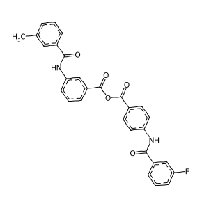 Cc1cccc(C(=O)Nc2cccc(C(=O)OC(=O)c3ccc(NC(=O)c4cccc(F)c4)cc3)c2)c1